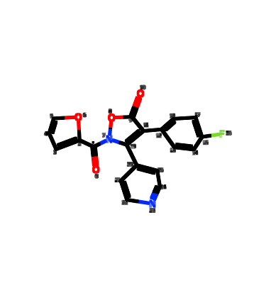 O=C(c1ccco1)n1oc(=O)c(-c2ccc(F)cc2)c1-c1ccncc1